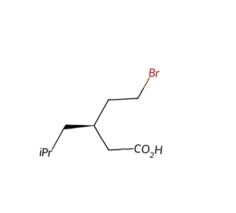 CC(C)C[C@@H](CCBr)CC(=O)O